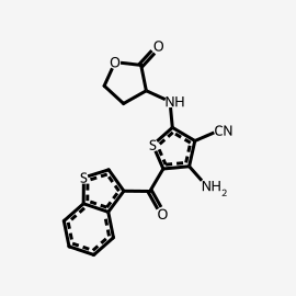 N#Cc1c(NC2CCOC2=O)sc(C(=O)c2csc3ccccc23)c1N